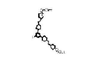 CCCCCCCCOC1CCC(CCC2CCC(c3cc(F)cc(C4CCC(CCC5CCC(OCCCCCCCC)CC5)CC4)c3)CC2)CC1